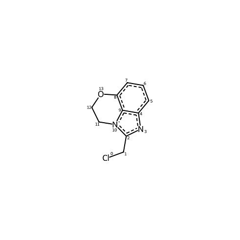 ClCc1nc2cccc3c2n1CCO3